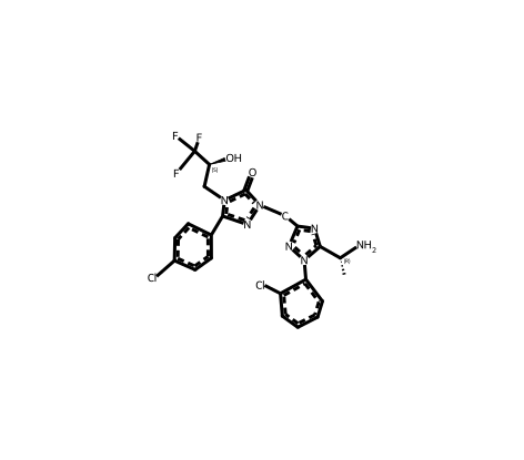 C[C@@H](N)c1nc(Cn2nc(-c3ccc(Cl)cc3)n(C[C@H](O)C(F)(F)F)c2=O)nn1-c1ccccc1Cl